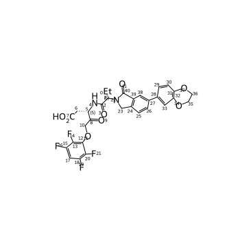 CC[C@@H](C(=O)N[C@@H](CC(=O)O)C(=O)COc1c(F)c(F)cc(F)c1F)N1Cc2ccc(-c3ccc4c(c3)OCCO4)cc2C1=O